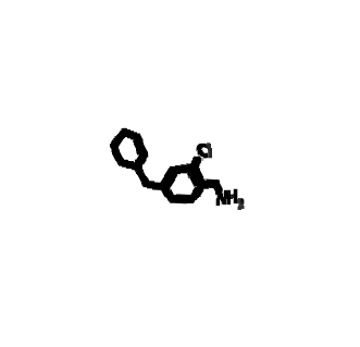 NCc1ccc(CC2C=CCCC2)cc1Cl